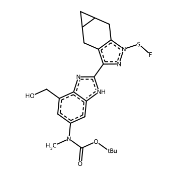 CN(C(=O)OC(C)(C)C)c1cc(CO)c2nc(-c3nn(SF)c4c3CC3CC3C4)[nH]c2c1